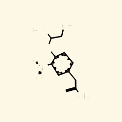 CCC(C)Oc1ccc(CC(=O)O)cc1[N+](=O)[O-]